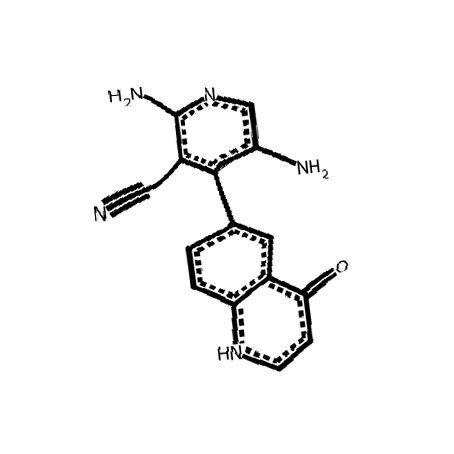 N#Cc1c(N)ncc(N)c1-c1ccc2[nH]ccc(=O)c2c1